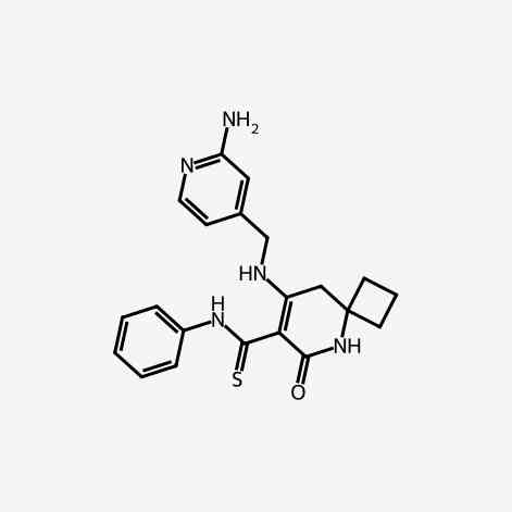 Nc1cc(CNC2=C(C(=S)Nc3ccccc3)C(=O)NC3(CCC3)C2)ccn1